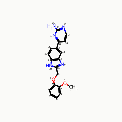 COc1ccccc1OCc1nc2cc(-c3ccnc(N)n3)ccc2[nH]1